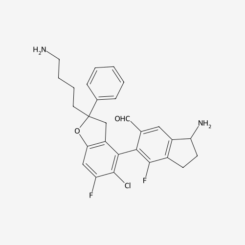 NCCCCC1(c2ccccc2)Cc2c(cc(F)c(Cl)c2-c2c(C=O)cc3c(c2F)CCC3N)O1